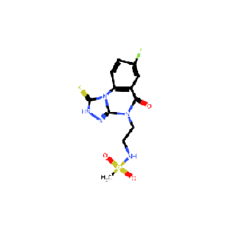 CS(=O)(=O)NCCn1c(=O)c2cc(F)ccc2n2c(=S)[nH]nc12